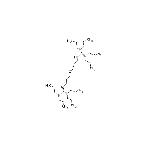 CCCN(CCC)C(=NCCCOCCCNC(N(CCC)CCC)=[N+](CCC)CCC)N(CCC)CCC